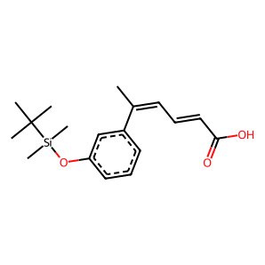 C/C(=C/C=C/C(=O)O)c1cccc(O[Si](C)(C)C(C)(C)C)c1